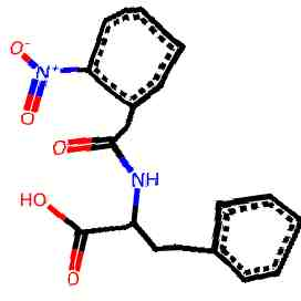 O=C(NC(Cc1ccccc1)C(=O)O)c1ccccc1[N+](=O)[O-]